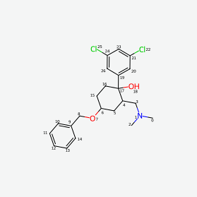 CN(C)CC1CC(OCc2ccccc2)CCC1(O)c1cc(Cl)cc(Cl)c1